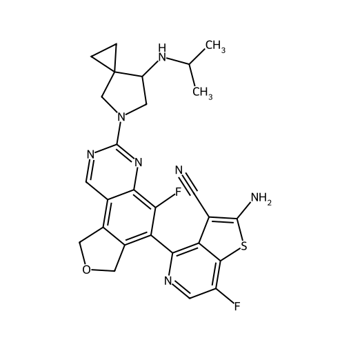 CC(C)NC1CN(c2ncc3c4c(c(-c5ncc(F)c6sc(N)c(C#N)c56)c(F)c3n2)COC4)CC12CC2